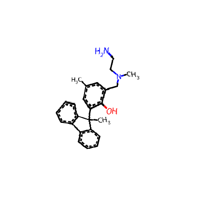 Cc1cc(CN(C)CCN)c(O)c(C2(C)c3ccccc3-c3ccccc32)c1